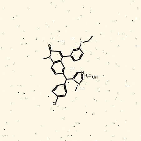 CCOc1cccc(-c2cc(=O)n(C)c3ccc(C(c4ccc(Cl)cc4)c4cncn4C)cc23)c1.Cl.O